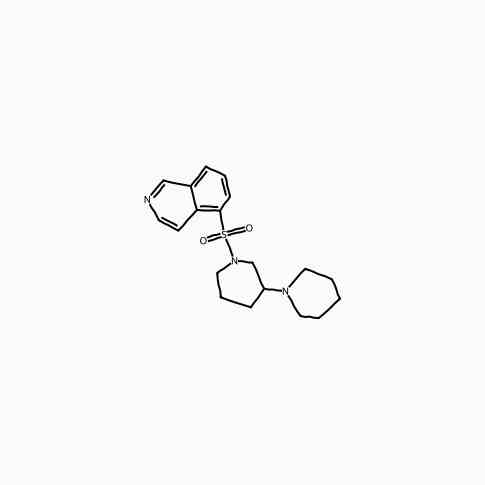 O=S(=O)(c1cccc2cnccc12)N1CCCC(N2CCCCC2)C1